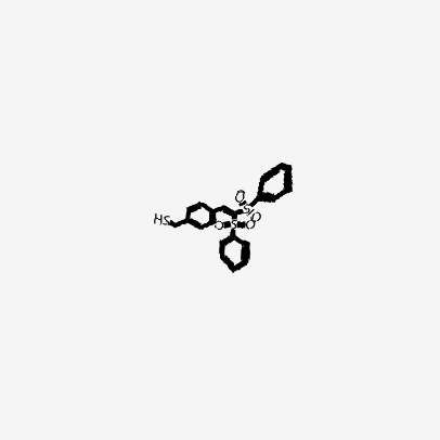 O=S(=O)(C(=Cc1ccc(CS)cc1)S(=O)(=O)c1ccccc1)c1ccccc1